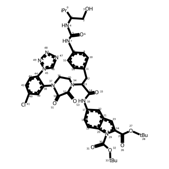 CC(C)C(CO)NC(=O)Nc1ccc(CC(C(=O)Nc2ccc3c(c2)cc(C(=O)OC(C)(C)C)n3C(=O)OC(C)(C)C)N2CCN(c3cc(Cl)ccc3-n3cnnn3)C(=O)C2=O)cc1